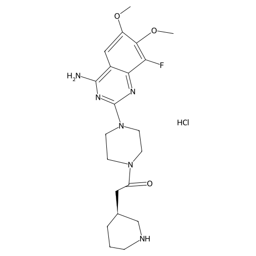 COc1cc2c(N)nc(N3CCN(C(=O)C[C@@H]4CCCNC4)CC3)nc2c(F)c1OC.Cl